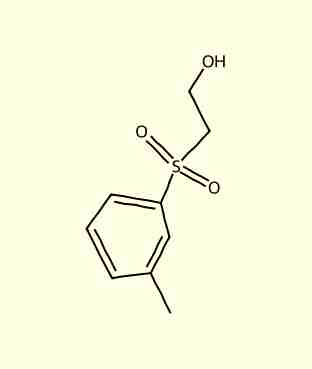 Cc1cccc(S(=O)(=O)CCO)c1